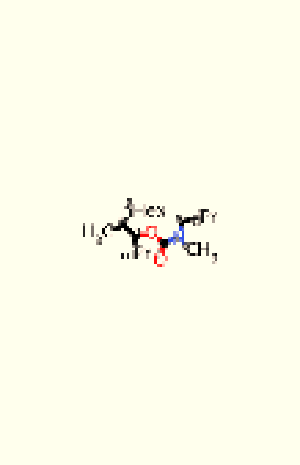 CCCCCCC(C)C(OC(=O)N(C)CC(C)C)C(C)C